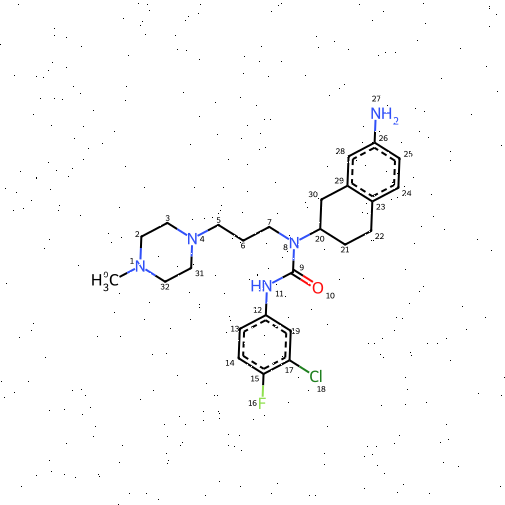 CN1CCN(CCCN(C(=O)Nc2ccc(F)c(Cl)c2)C2CCc3ccc(N)cc3C2)CC1